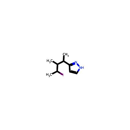 CC(I)C(C)C(C)c1cc[nH]n1